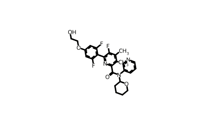 Cc1c(C(=O)N(c2cccnc2)C2CCCCO2)nc(-c2c(F)cc(OCCO)cc2F)c(F)c1C